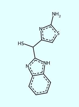 Nc1nc(C(S)c2nc3ccccc3[nH]2)cs1